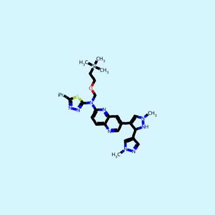 CC(C)c1nnc(N(COCC[Si](C)(C)C)c2ccc3ncc(C4=CN(C)NC4c4cnn(C)c4)cc3n2)s1